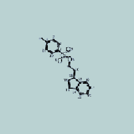 Cc1ccc(S(=O)(=O)OCCC2C=Cc3ccccc32)cc1